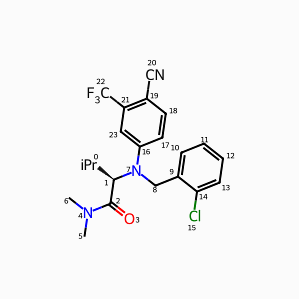 CC(C)[C@H](C(=O)N(C)C)N(Cc1ccccc1Cl)c1ccc(C#N)c(C(F)(F)F)c1